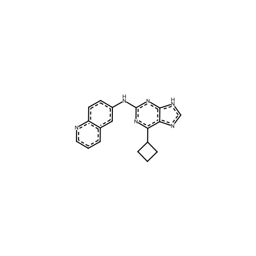 c1cnc2ccc(Nc3nc(C4CCC4)c4nc[nH]c4n3)cc2c1